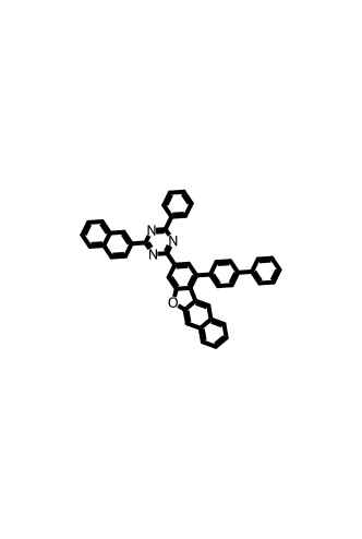 c1ccc(-c2ccc(-c3cc(-c4nc(-c5ccccc5)nc(-c5ccc6ccccc6c5)n4)cc4oc5cc6ccccc6cc5c34)cc2)cc1